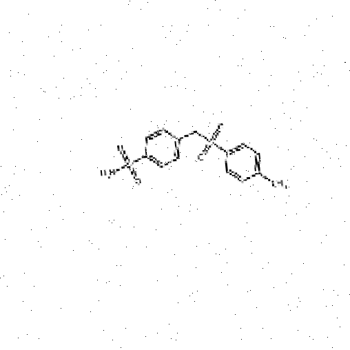 Cc1ccc(S(=O)(=O)Cc2ccc(S(N)(=O)=O)cc2)cc1